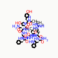 CNC(=N)NCCC[C@H](NC(=O)[C@H](CC(C)C)NC(=O)NNC(=O)[C@H](Cc1ccccc1)NC(=O)CNC(=O)[C@H](CC(N)=O)NC(=O)[C@@H]1C[C@@H](O)CN1C(=O)[C@@H](Cc1ccc(O)cc1)NC(C)=O)C(=O)N[C@@H](Cc1c[nH]c2ccccc12)C(N)=O